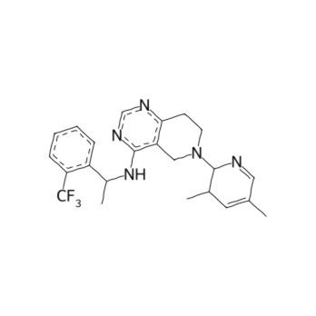 CC1=CC(C)C(N2CCc3ncnc(NC(C)c4ccccc4C(F)(F)F)c3C2)N=C1